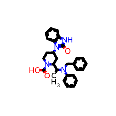 CC(C1CC(n2c(=O)[nH]c3ccccc32)CCN1C(=O)O)N(Cc1ccccc1)c1ccccc1